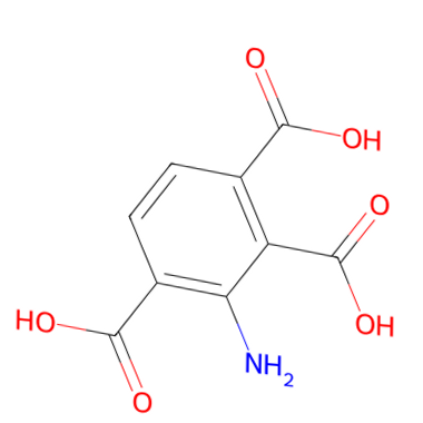 Nc1c(C(=O)O)ccc(C(=O)O)c1C(=O)O